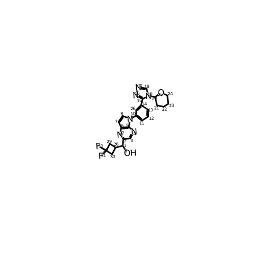 OC(c1cnc2c(ccn2-c2cccc(-c3nncn3C3CCCCO3)c2)n1)C1CC(F)(F)C1